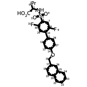 CC(C)C(NS(=O)(=O)c1cc(F)c(-c2ccc(OCc3ccc4ccccc4c3)cc2)cc1F)C(=O)O